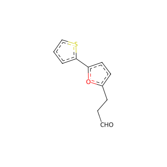 O=CCCc1ccc(-c2cccs2)o1